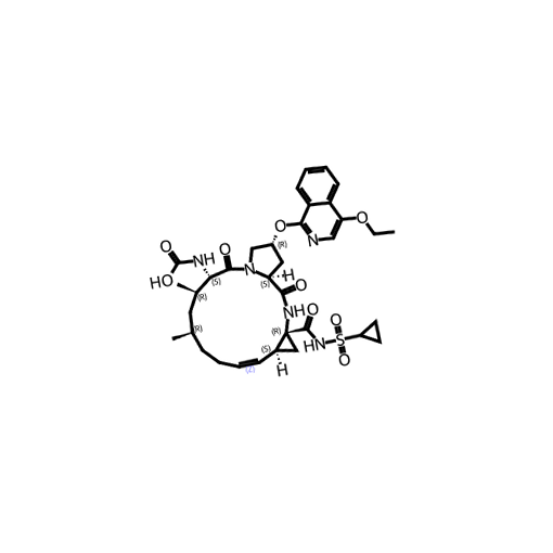 CCOc1cnc(O[C@@H]2C[C@H]3C(=O)N[C@]4(C(=O)NS(=O)(=O)C5CC5)C[C@H]4/C=C\CC[C@@H](C)C[C@@H](C)[C@H](NC(=O)O)C(=O)N3C2)c2ccccc12